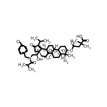 CC(C)C(=O)N(Cc1ccc(Cl)cc1)C[C@H](O)[C@@]12CC[C@]3(C)[C@H](CC[C@@H]4[C@@]5(C)CC[C@H](OC(=O)CC(C)(C)C(=O)O)C(C)(C)[C@@H]5CC[C@]43C)C1=C(C(C)C)C(=O)C2